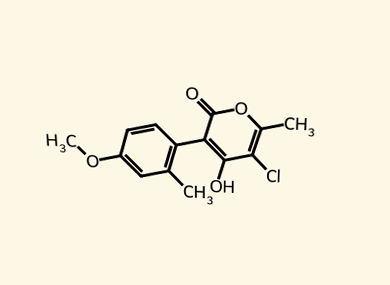 COc1ccc(-c2c(O)c(Cl)c(C)oc2=O)c(C)c1